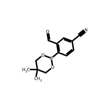 CC1(C)COB(c2ccc(C#N)cc2C=O)OC1